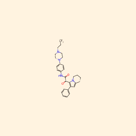 O=C(Nc1ccc(N2CCN(CCC(F)(F)F)CC2)cc1)C(=O)c1c(-c2ccccc2)cc2n1CCCC2